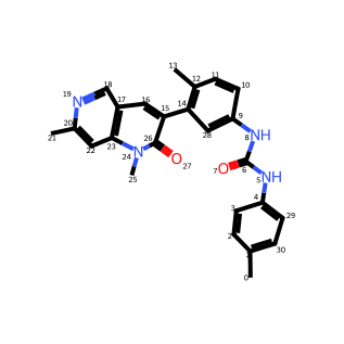 Cc1ccc(NC(=O)Nc2ccc(C)c(-c3cc4cnc(C)cc4n(C)c3=O)c2)cc1